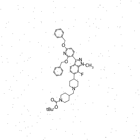 Cn1nc(-c2ccc(OCc3ccccc3)nc2OCc2ccccc2)c2ccc(C3CCN(CC4CCN(C(=O)OC(C)(C)C)CC4)CC3)c(F)c21